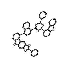 c1ccc(-c2nc(-c3ccc(-c4cccc5oc6cc7nc(-c8ccccc8)oc7cc6c45)c4ccccc34)nc(-c3cccc4oc5ccccc5c34)n2)cc1